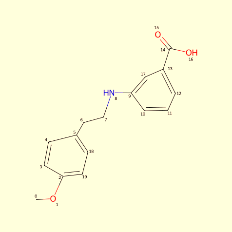 COc1ccc(CCNc2cccc(C(=O)O)c2)cc1